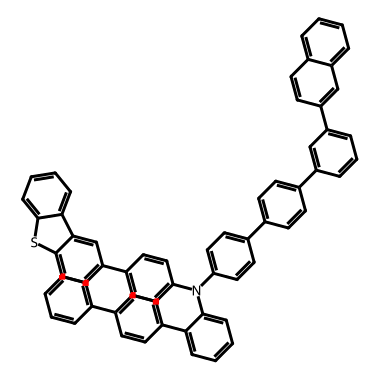 c1ccc(-c2ccc(-c3ccccc3N(c3ccc(-c4ccc(-c5cccc(-c6ccc7ccccc7c6)c5)cc4)cc3)c3ccc(-c4ccc5sc6ccccc6c5c4)cc3)cc2)cc1